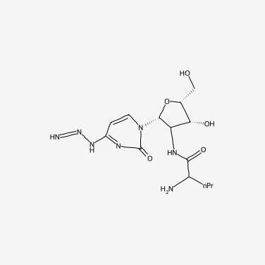 CCCC(N)C(=O)NC1[C@@H](O)[C@@H](CO)O[C@H]1n1ccc(NN=N)nc1=O